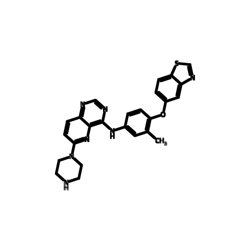 Cc1cc(Nc2ncnc3ccc(N4CCNCC4)nc23)ccc1Oc1ccc2scnc2c1